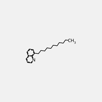 CCCCCCCCCCCc1cccc2cccnc12